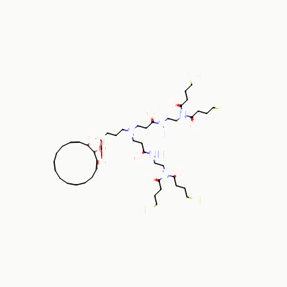 O=C(CCN(CCC[Si]12OC3CCCCCCCCCCCC(O1)C(C3)O2)CCC(=O)NCCN(C(=O)CCCS)C(=O)CCCS)NCCN(C(=O)CCCS)C(=O)CCCS